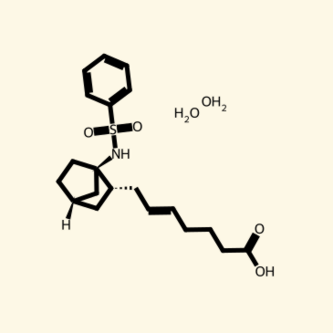 O.O.O=C(O)CCCC=CC[C@@H]1C[C@@H]2CC[C@@]1(NS(=O)(=O)c1ccccc1)C2